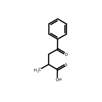 CC(CC(=O)c1ccccc1)C(O)=S